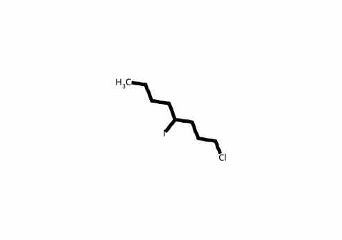 CCCCC(I)CCCCl